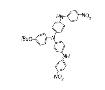 CC(C)COc1ccc(N(c2ccc(Nc3ccc([N+](=O)[O-])cc3)cc2)c2ccc(Nc3ccc([N+](=O)[O-])cc3)cc2)cc1